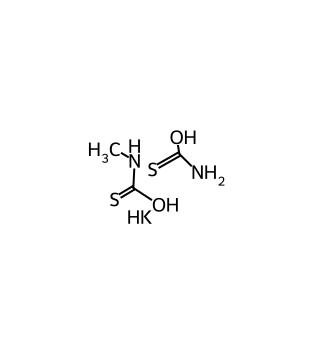 CNC(O)=S.NC(O)=S.[KH]